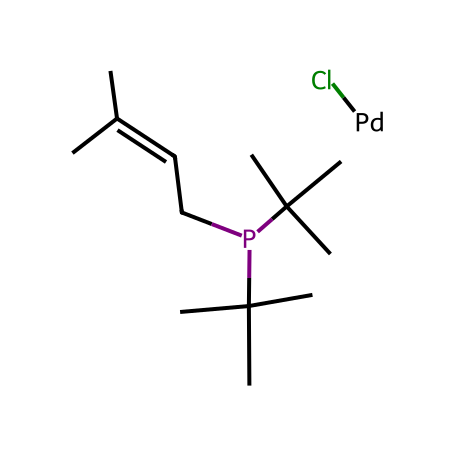 CC(C)=CCP(C(C)(C)C)C(C)(C)C.[Cl][Pd]